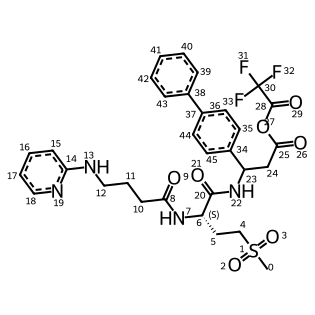 CS(=O)(=O)CC[C@H](NC(=O)CCCNc1ccccn1)C(=O)NC(CC(=O)OC(=O)C(F)(F)F)c1ccc(-c2ccccc2)cc1